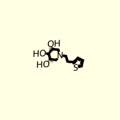 OC1[C@H](O)CN(CCc2cccs2)C[C@@H]1O